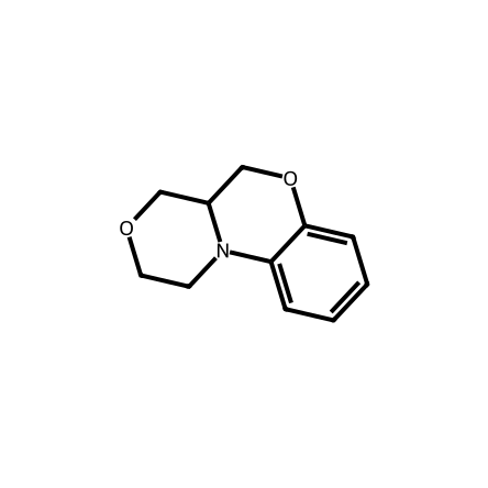 c1ccc2c(c1)OCC1COCCN21